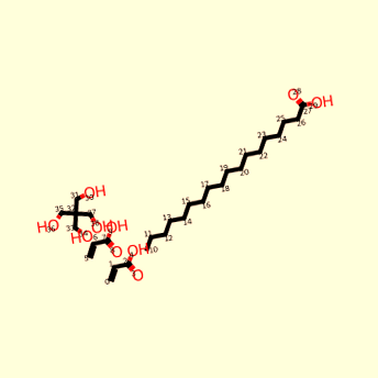 C=CC(=O)O.C=CC(=O)O.CCCCCCCCCCCCCCCCCC(=O)O.OCC(CO)(CO)CO